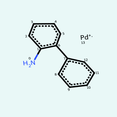 Nc1ccccc1-c1ccccc1.[Pd+]